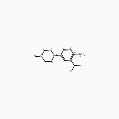 CC(C)c1cc(N2CCN(C)CC2)ccc1N